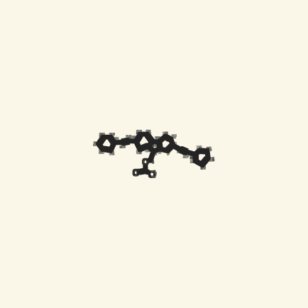 O=C(Cl)OCC1c2cc(C#Cc3ccccc3)ccc2-c2ccc(C#Cc3ccccc3)cc21